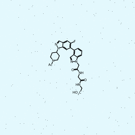 CC(=O)N1CCC(n2ncc3cc(F)c(-c4cccc5c4cnn5CC(=O)NCC(=O)NCC(=O)O)cc32)CC1